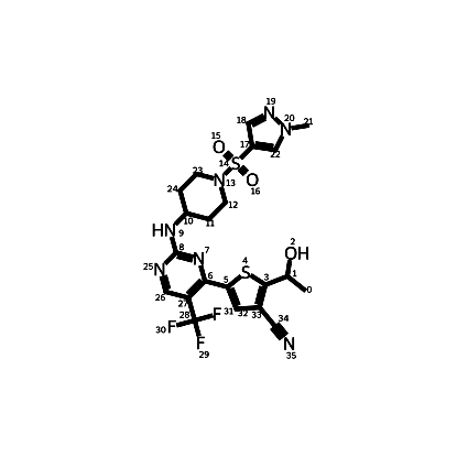 CC(O)c1sc(-c2nc(NC3CCN(S(=O)(=O)c4cnn(C)c4)CC3)ncc2C(F)(F)F)cc1C#N